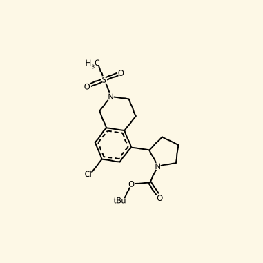 CC(C)(C)OC(=O)N1CCCC1c1cc(Cl)cc2c1CCN(S(C)(=O)=O)C2